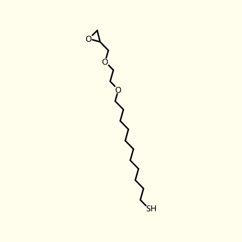 SCCCCCCCCCCCOCCOCC1CO1